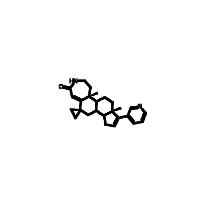 C[C@]12CCNC(=O)C=C1C1(CC1)CC1C2CC[C@]2(C)C(c3cccnc3)=CCC12